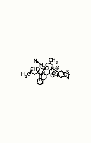 CC(C)CN(C[C@@H](O)[C@H](Cc1ccccc1)N(NC(=O)CN(C)C)C(=O)CCC#N)S(=O)(=O)c1ccc2ncsc2c1